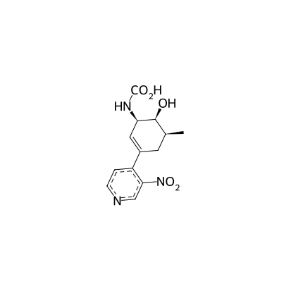 C[C@H]1CC(c2ccncc2[N+](=O)[O-])=C[C@@H](NC(=O)O)[C@H]1O